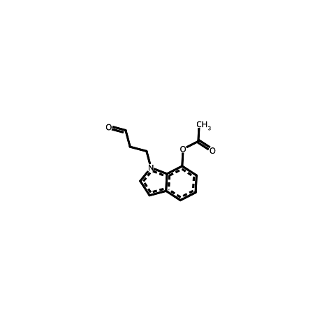 CC(=O)Oc1cccc2ccn(CCC=O)c12